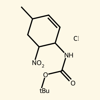 CC1C=CC(NC(=O)OC(C)(C)C)C([N+](=O)[O-])C1.[C]